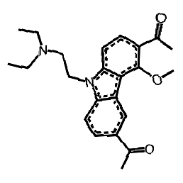 CCN(CC)CCn1c2ccc(C(C)=O)cc2c2c(OC)c(C(C)=O)ccc21